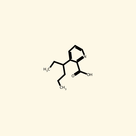 CCCC(CC)c1cccnc1C(=O)O